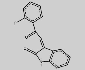 O=C1Nc2ccccc2C1=CC(=O)c1ccccc1F